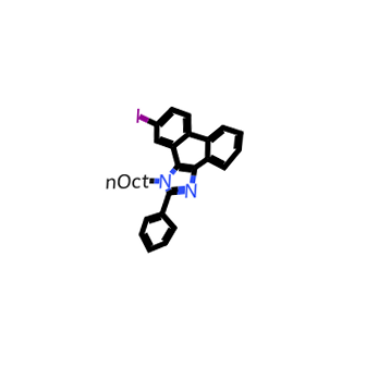 CCCCCCCCn1c(-c2ccccc2)nc2c3ccccc3c3ccc(I)cc3c21